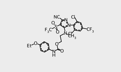 CCOc1ccc(NC(=O)OCCN(C)c2c(S(=O)(=O)C(F)(F)F)c(C#N)nn2-c2c(Cl)cc(C(F)(F)F)cc2Cl)cc1